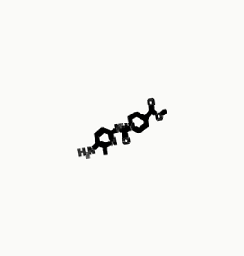 COC(=O)C1CCN(C(=O)Nc2ccc(N)c(C)n2)CC1